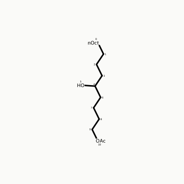 CCCCCCCCCCCC(O)CCCCOC(C)=O